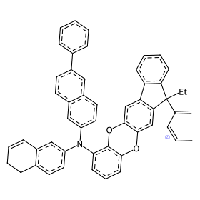 C=C(/C=C\C)C1(CC)c2ccccc2-c2cc3c(cc21)Oc1cccc(N(c2ccc4c(c2)C=CCC4)c2ccc4cc(-c5ccccc5)ccc4c2)c1O3